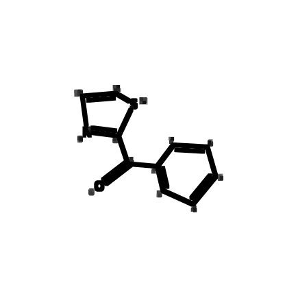 O=C(c1ccccc1)c1nccs1